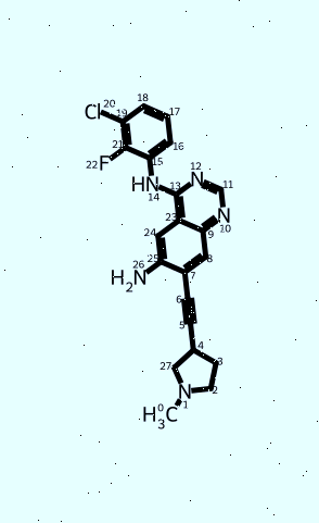 CN1CCC(C#Cc2cc3ncnc(Nc4cccc(Cl)c4F)c3cc2N)C1